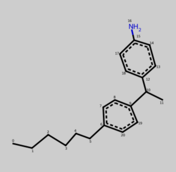 CCCCCCc1ccc(C(C)c2ccc(N)cc2)cc1